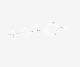 CC(C)(C)N1CC(C(F)(F)c2ccc(Br)cc2)C1